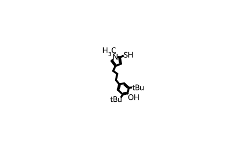 Cn1cc(CCCc2cc(C(C)(C)C)c(O)c(C(C)(C)C)c2)cc1S